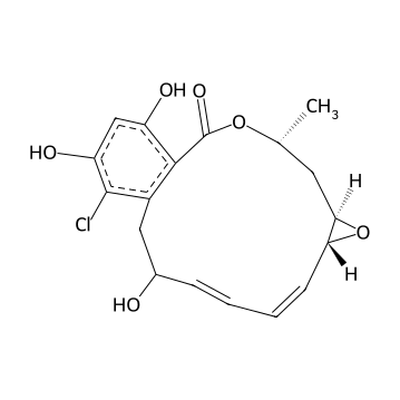 C[C@@H]1C[C@H]2O[C@@H]2/C=C\C=C\C(O)Cc2c(Cl)c(O)cc(O)c2C(=O)O1